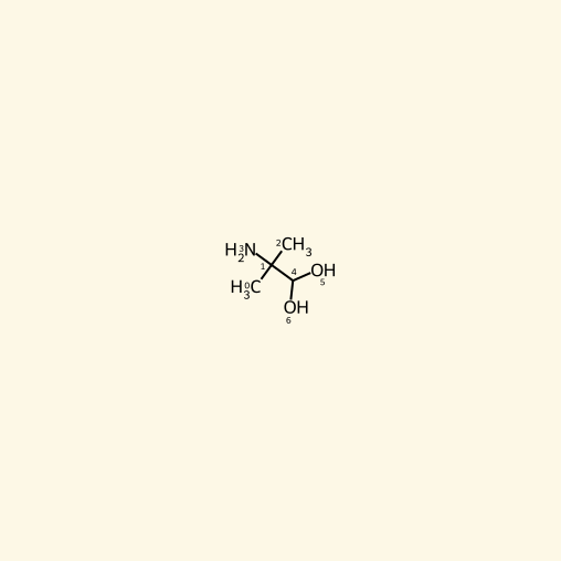 CC(C)(N)C(O)O